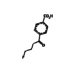 O=C(O)c1ccc(C(=O)CCCF)cc1